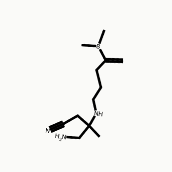 C=C(CCCNC(C)(CN)CC#N)B(C)C